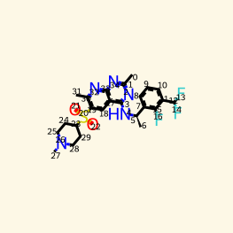 Cc1nc(N[C@H](C)c2cccc(C(F)F)c2F)c2cc(S(=O)(=O)C3CCN(C)CC3)c(C)nc2n1